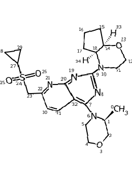 C[C@H]1COCCN1c1nc(N2CCO[C@@H]3CCC[C@@H]32)nc2nc(CS(=O)(=O)C3CC3)ccc12